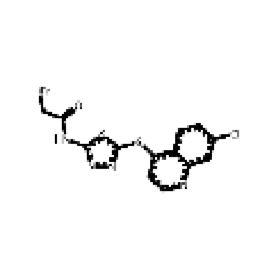 CC(C)CC(=O)Nc1nnc(Sc2ccnc3cc(Cl)ccc23)s1